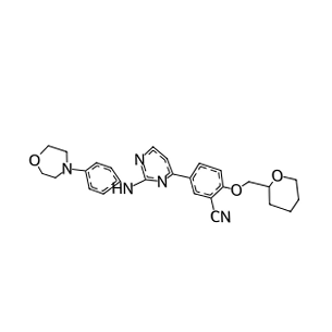 N#Cc1cc(-c2ccnc(Nc3ccc(N4CCOCC4)cc3)n2)ccc1OCC1CCCCO1